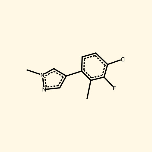 Cc1c(-c2cnn(C)c2)ccc(Cl)c1F